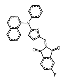 O=C1/C(=C\c2ccc(N(c3ccccc3)c3cccc4ccccc34)s2)C(=O)c2cc(F)ccc21